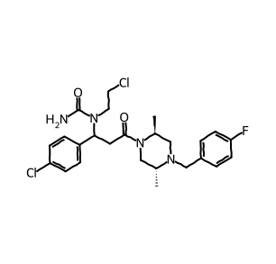 C[C@@H]1CN(C(=O)CC(c2ccc(Cl)cc2)N(CCCl)C(N)=O)[C@@H](C)CN1Cc1ccc(F)cc1